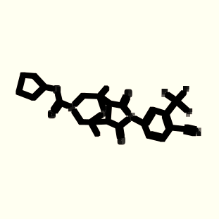 CC12CN(C(=O)OC3CCCC3)CC(C)(O1)C1C(=O)N(c3ccc(C#N)c(C(F)(F)F)c3)C(=O)C12